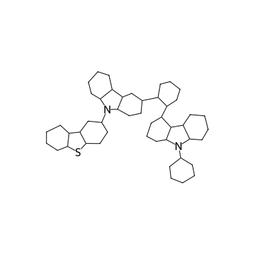 C1CCC(N2C3CCCCC3C3C(C4CCCCC4C4CCC5C(C4)C4CCCCC4N5C4CCC5SC6CCCCC6C5C4)CCCC32)CC1